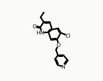 CCc1cc2cc(Cl)c(OCc3ccncc3)cc2[nH]c1=O